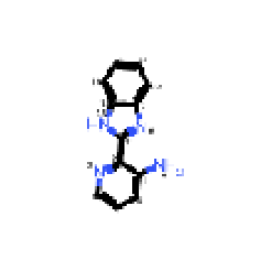 Nc1cccnc1-c1nc2ccccc2[nH]1